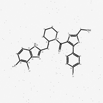 O=C(c1nc(CO)sc1-c1ccc(F)cc1)N1CCCCC1Cc1nc2c(F)c(F)ccc2[nH]1